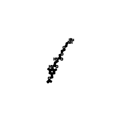 C=C(C)OCc1cc(C)c(NC(=O)CCNC(=O)COCCOCCNC(C)(C)C)c(C)c1